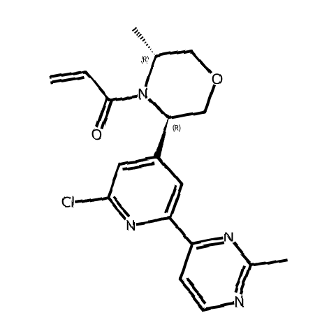 C=CC(=O)N1[C@H](C)COC[C@H]1c1cc(Cl)nc(-c2ccnc(C)n2)c1